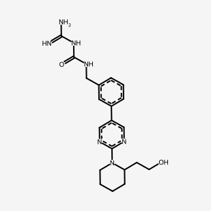 N=C(N)NC(=O)NCc1cccc(-c2cnc(N3CCCCC3CCO)nc2)c1